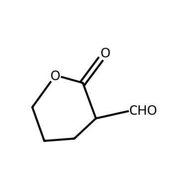 O=CC1CCCOC1=O